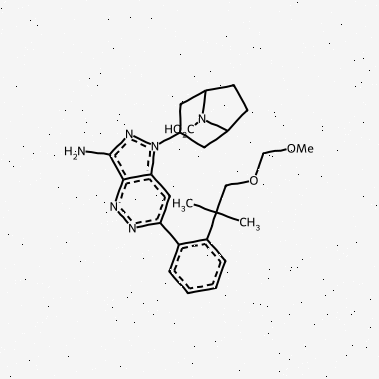 COCOCC(C)(C)c1ccccc1-c1cc2c(nn1)c(N)nn2C1CC2CCC(C1)N2C(=O)O